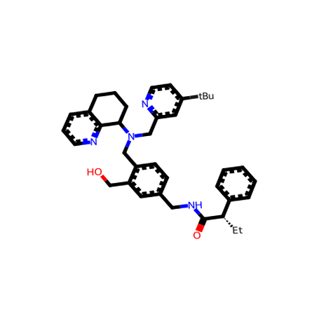 CC[C@H](C(=O)NCc1ccc(CN(Cc2cc(C(C)(C)C)ccn2)C2CCCc3cccnc32)c(CO)c1)c1ccccc1